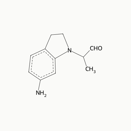 CC(C=O)N1CCc2ccc(N)cc21